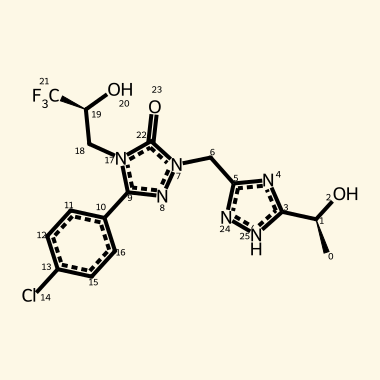 C[C@H](O)c1nc(Cn2nc(-c3ccc(Cl)cc3)n(C[C@H](O)C(F)(F)F)c2=O)n[nH]1